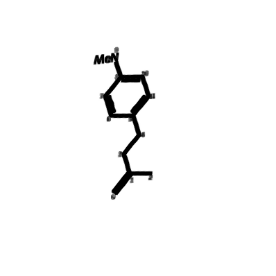 C=C(C)CCc1ccc(NC)cc1